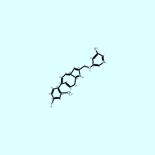 Fc1cncc(OCC2=C/C3=C/C=C(c4ccc(F)cc4C(F)(F)F)\C=C\CC3=N2)c1